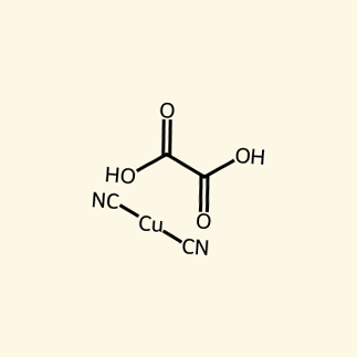 N#[C][Cu][C]#N.O=C(O)C(=O)O